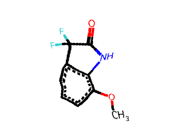 COc1cccc2c1NC(=O)C2(F)F